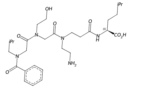 CC(C)CC[C@H](NC(=O)CCN(CCN)C(=O)CN(CCO)C(=O)CN(CC(C)C)C(=O)c1ccccc1)C(=O)O